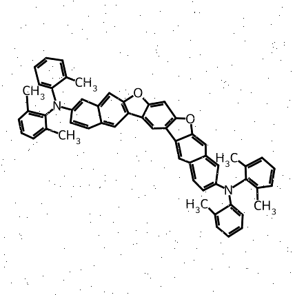 Cc1ccccc1N(c1ccc2cc3c(cc2c1)oc1cc2oc4cc5cc(N(c6ccccc6C)c6c(C)cccc6C)ccc5cc4c2cc13)c1c(C)cccc1C